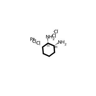 N[C@@H]1CCCC[C@@H]1N.[Cl].[Cl].[Cl].[Cl].[Pt]